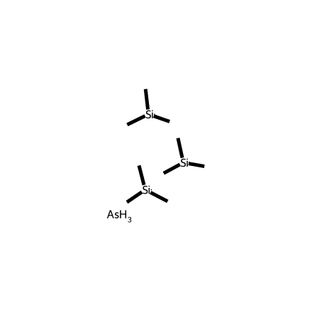 C[Si](C)C.C[Si](C)C.C[Si](C)C.[AsH3]